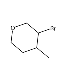 CC1CCOCC1Br